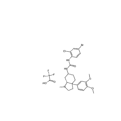 COc1ccc(C23CCC(NC(=O)Nc4ccc(Br)cc4Cl)CC2N(C)CC3)cc1OC.O=C(O)C(F)(F)F